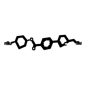 CCCC[C@H]1CC[C@H](OC(=O)c2ccc(C3=CCC(CC(C)CC)CC3)cc2)CC1